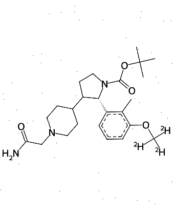 [2H]C([2H])([2H])Oc1cccc([C@@H]2C(C3CCN(CC(N)=O)CC3)CCN2C(=O)OC(C)(C)C)c1C